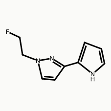 FCCn1ccc(-c2ccc[nH]2)n1